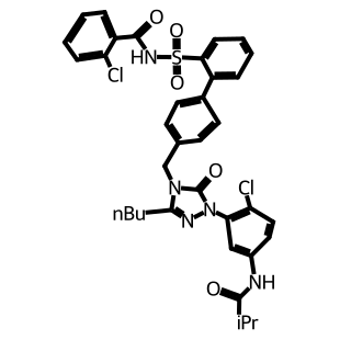 CCCCc1nn(-c2cc(NC(=O)C(C)C)ccc2Cl)c(=O)n1Cc1ccc(-c2ccccc2S(=O)(=O)NC(=O)c2ccccc2Cl)cc1